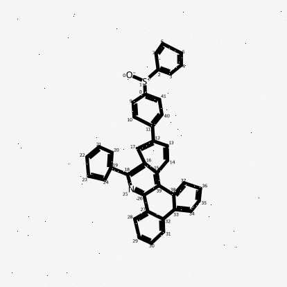 [O-][S+](c1ccccc1)c1ccc(-c2ccc3c(c2)c(-c2ccccc2)nc2c4ccccc4c4ccccc4c32)cc1